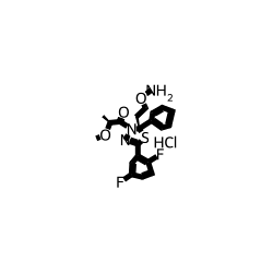 CO[C@@H](C)C(=O)N1N=C(c2cc(F)ccc2F)S[C@@]1(CCON)c1ccccc1.Cl